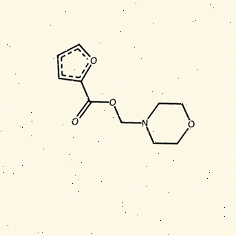 O=C(OCN1CCOCC1)c1ccco1